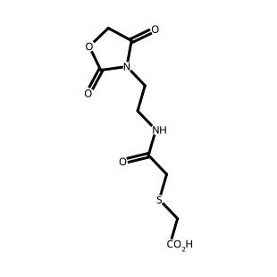 O=C(O)CSCC(=O)NCCN1C(=O)COC1=O